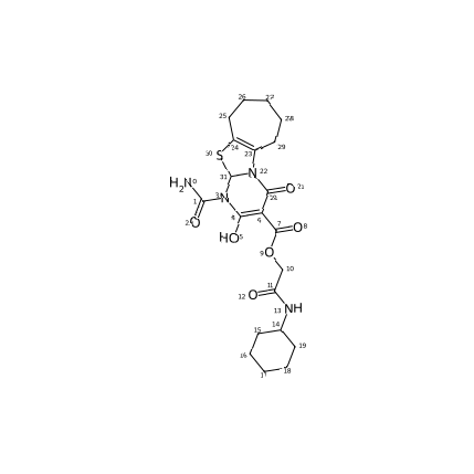 NC(=O)N1C(O)=C(C(=O)OCC(=O)NC2CCCCC2)C(=O)N2C3=C(CCCCC3)SC12